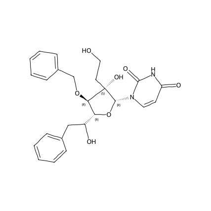 O=c1ccn([C@@H]2O[C@H](C(O)Cc3ccccc3)[C@@H](OCc3ccccc3)[C@@]2(O)CCO)c(=O)[nH]1